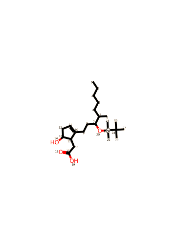 CCCCCC(C)C(CCC1=CCC(O)C1CC(=O)O)O[Si](C)(C)C(C)(C)C